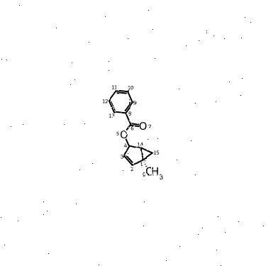 C[C@]12C=CC(OC(=O)c3ccccc3)C1C2